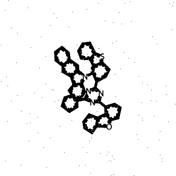 c1ccc(-c2nc(-c3ccc4sc5ccccc5c4c3-n3c4ccccc4c4cc5ccccc5cc43)nc(-c3cccc4oc5ccccc5c34)n2)cc1